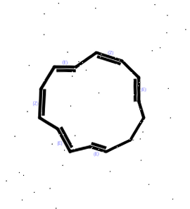 [CH]1/C=C/C=C/C=C\C=C\C=C/C=C/C1